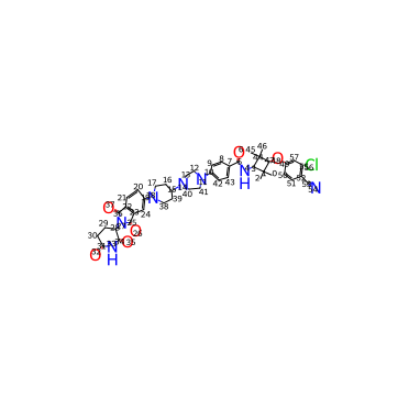 CC1(C)C(NC(=O)c2ccc(N3CCN(C4CCN(c5ccc6c(c5)C(=O)N(C5CCC(=O)NC5=O)C6=O)CC4)CC3)cc2)C(C)(C)C1Oc1ccc(C#N)c(Cl)c1